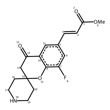 COC(=O)/C=C/c1cc(F)c2c(c1)C(=O)CC1(CCNCC1)O2